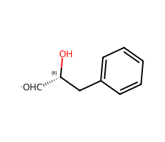 O=[C][C@H](O)Cc1ccccc1